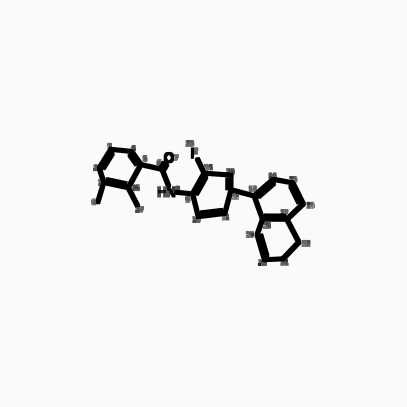 Cc1cccc(C(=O)Nc2ccc(-c3cccc4c3C=CCC4)cc2F)c1C